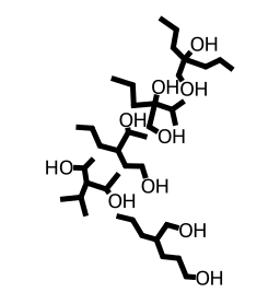 CC(C)C(C(C)O)C(C)O.CCCC(CCO)C(C)O.CCCC(CO)CCCO.CCCC(O)(CO)C(C)C.CCCC(O)(CO)CCC